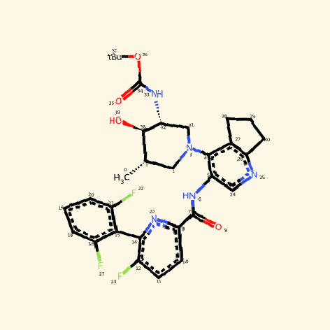 C[C@H]1CN(c2c(NC(=O)c3ccc(F)c(-c4c(F)cccc4F)n3)cnc3c2CCC3)C[C@@H](NC(=O)OC(C)(C)C)[C@@H]1O